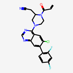 C=CC(=O)N1CCN(c2ncnc3cc(-c4ccc(F)cc4F)c(Cl)cc23)CC1CC#N